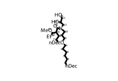 CCCCCCCCCCCCCCCCOCCCN(CC(O)CO)C(=O)C(CCCCCCCCCCCC)C(CC)OC